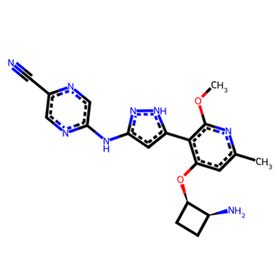 COc1nc(C)cc(O[C@@H]2CC[C@@H]2N)c1-c1cc(Nc2cnc(C#N)cn2)n[nH]1